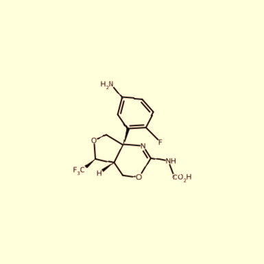 Nc1ccc(F)c([C@]23CO[C@H](C(F)(F)F)[C@H]2COC(NC(=O)O)=N3)c1